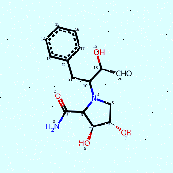 NC(=O)C1[C@H](O)[C@@H](O)CN1[C](Cc1ccccc1)[C@@H](O)C=O